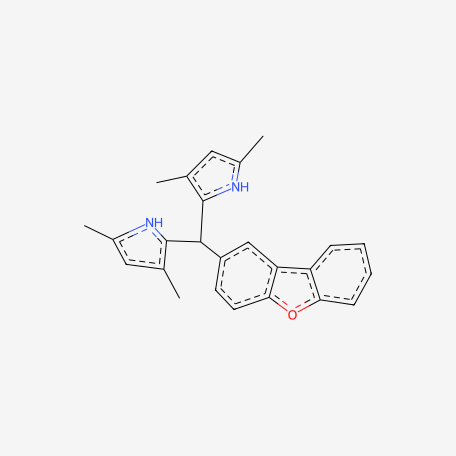 Cc1cc(C)c(C(c2ccc3oc4ccccc4c3c2)c2[nH]c(C)cc2C)[nH]1